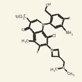 CCOC(=O)c1cn(-c2cc(N)c(F)cc2CO)c2c(Cl)c(N3CC(CN(C)C)C3)c(F)c(C)c2c1=O